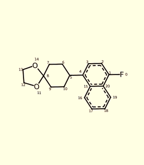 Fc1ccc(C2CCC3(CC2)OCCO3)c2ccccc12